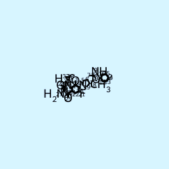 COc1c(N2C[C@H](C[C@H](N)Oc3ccccc3)[C@H](C)C2)c(F)cc2c(=O)n(N)c(=O)n(C3CC3)c12